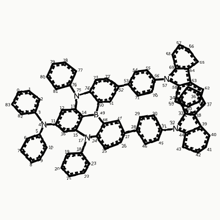 c1ccc(N(c2ccccc2)c2cc3c4c(c2)N(c2ccccc2)c2ccc(-c5ccc(-n6c7ccccc7c7ccccc76)cc5)cc2B4c2cc(-c4ccc(-n5c6ccccc6c6ccccc65)cc4)ccc2N3c2ccccc2)cc1